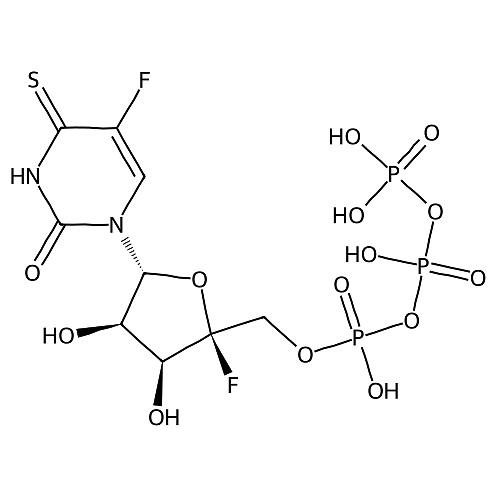 O=c1[nH]c(=S)c(F)cn1[C@@H]1O[C@](F)(COP(=O)(O)OP(=O)(O)OP(=O)(O)O)[C@@H](O)[C@H]1O